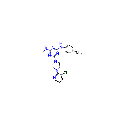 CN(C)c1nc(Nc2ccc(C(F)(F)F)cc2)nc(N2CCN(c3ncccc3Cl)CC2)n1